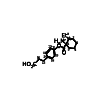 CC[C@H]1CCCC[C@@]1(N)C(=O)Oc1ccc(CCC(=O)O)cc1